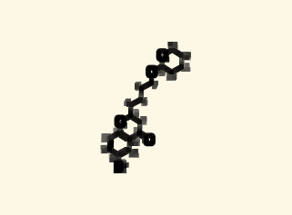 O=C1CC(CCCCOC2CCCCO2)Oc2ccc(Br)cc21